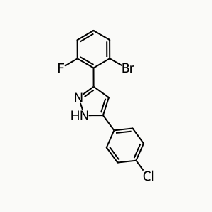 Fc1cccc(Br)c1-c1cc(-c2ccc(Cl)cc2)[nH]n1